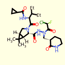 CCC(CC)[C@H](NC(=O)C1CC1)C(=O)N1C[C@H]2[C@@H]([C@H]1C(=O)NN(C[C@@H]1CCCNC1=O)C(=O)[C@H](F)Cl)C2(C)C